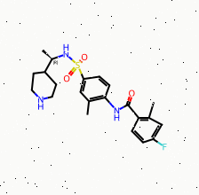 Cc1cc(S(=O)(=O)N[C@H](C)C2CCNCC2)ccc1NC(=O)c1ccc(F)cc1C